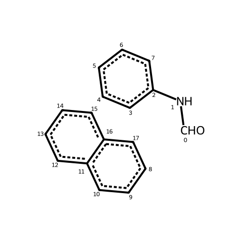 O=CNc1ccccc1.c1ccc2ccccc2c1